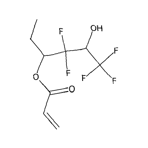 C=CC(=O)OC(CC)C(F)(F)C(O)C(F)(F)F